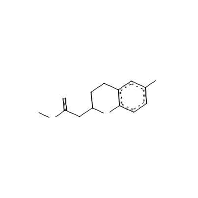 COC(=O)CC1CCc2cc(F)ccc2O1